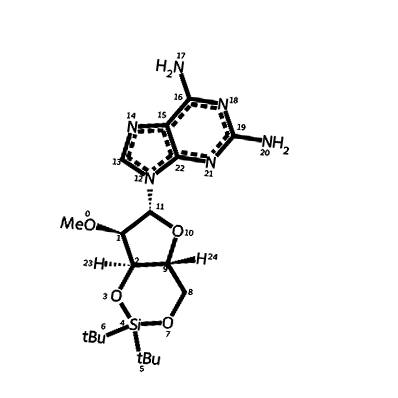 CO[C@@H]1[C@@H]2O[Si](C(C)(C)C)(C(C)(C)C)OC[C@H]2O[C@H]1n1cnc2c(N)nc(N)nc21